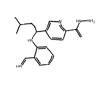 C=C(NN)c1ccc(C(CC(C)C)Nc2ccccc2C=N)cn1